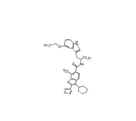 Cc1c(C(=O)NC(Cc2c[nH]c3ccc(OCC(=O)O)cc23)C(=O)O)ccc2c1nc(-c1ccoc1)n2C1CCCCC1